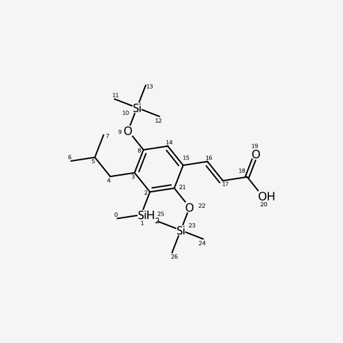 C[SiH2]c1c(CC(C)C)c(O[Si](C)(C)C)cc(C=CC(=O)O)c1O[Si](C)(C)C